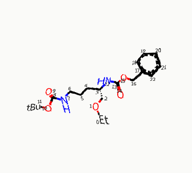 CCOC[C@H](CCCNC(=O)OC(C)(C)C)NC(=O)OCc1ccccc1